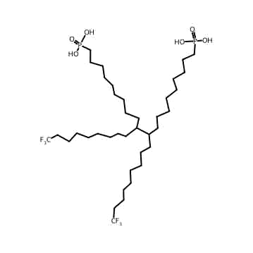 O=P(O)(O)CCCCCCCCCC(CCCCCCCCC(F)(F)F)C(CCCCCCCCCP(=O)(O)O)CCCCCCCCC(F)(F)F